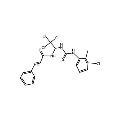 Cc1c(Cl)cccc1NC(=S)NC(NC(=O)/C=C/c1ccccc1)C(Cl)(Cl)Cl